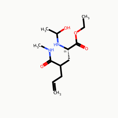 C=CCC(C[C@H](NC(C)O)C(=O)OCC)C(=O)NC